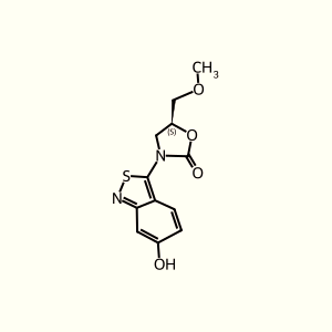 COC[C@@H]1CN(c2snc3cc(O)ccc23)C(=O)O1